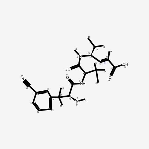 CN[C@H](C(=O)NC(C(=O)N(C)[C@H](/C=C(\C)C(=O)O)C(C)C)C(C)(C)C)C(C)(C)c1cccc(C#N)c1